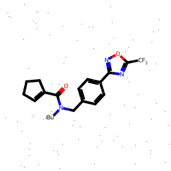 CCC(C)N(Cc1ccc(-c2noc(C(F)(F)F)n2)cc1)C(=O)C1=CCCC1